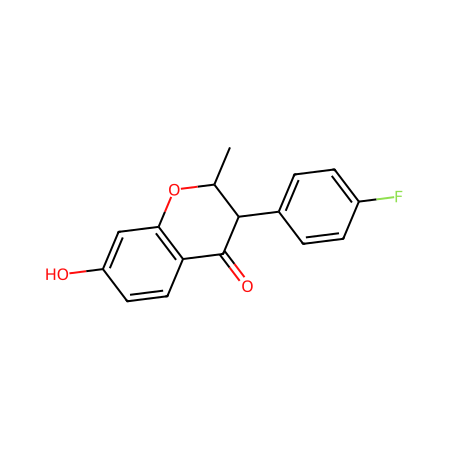 CC1Oc2cc(O)ccc2C(=O)C1c1ccc(F)cc1